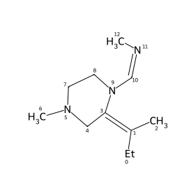 CC/C(C)=C1\CN(C)CCN1/C=N\C